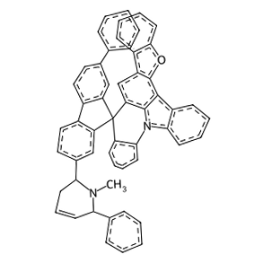 CN1C(c2ccccc2)C=CCC1c1ccc2c(c1)C1(c3cc(-c4ccccc4)ccc3-2)c2ccccc2-n2c3ccccc3c3c4oc5ccccc5c4cc1c32